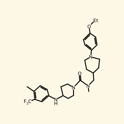 CCOc1ccc(N2CCC(CN(C)C(=O)N3CCC(Nc4ccc(C)c(C(F)(F)F)c4)CC3)CC2)cc1